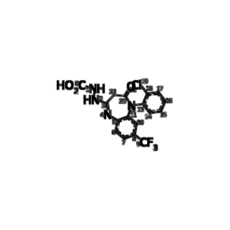 O=C(O)NNC1=Nc2ccc(C(F)(F)F)cc2N(c2ccccc2Cl)C(=O)C1